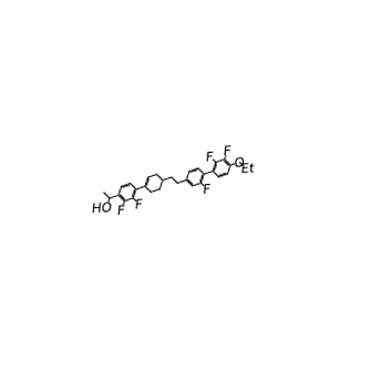 CCOc1ccc(-c2ccc(CCC3CC=C(c4ccc(C(C)O)c(F)c4F)CC3)cc2F)c(F)c1F